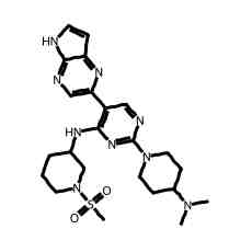 CN(C)C1CCN(c2ncc(-c3cnc4[nH]ccc4n3)c(NC3CCCN(S(C)(=O)=O)C3)n2)CC1